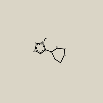 Cn1cn[c]c1C1CCCCC1